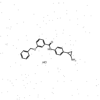 Cl.NC1CC1c1ccc(NC(=O)c2cccc(OCc3ccccc3)c2)cc1